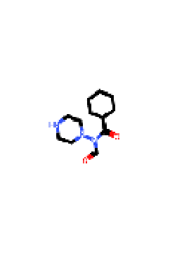 O=[C]N(C(=O)C1CCCCC1)N1CCNCC1